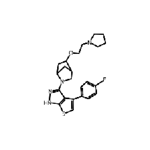 Fc1ccc(-c2csc3[nH]nc(N4CC5CC4CC5OCCN4CCCC4)c23)cc1